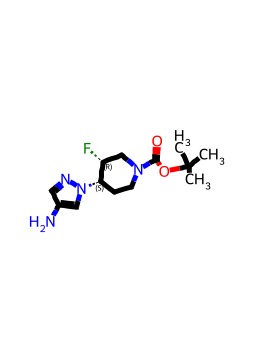 CC(C)(C)OC(=O)N1CC[C@H](n2cc(N)cn2)[C@H](F)C1